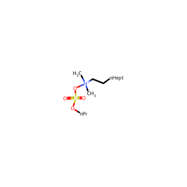 CCCCCCCCC[N+](C)(C)OS(=O)(=O)OCCC